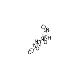 CN(C(=O)C1CCOCC1)c1ncc(N2CC3(CCC(c4ccccc4)(N(C)C)CC3)NC2=O)cn1